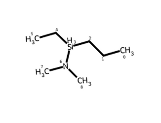 CCC[SiH](CC)N(C)C